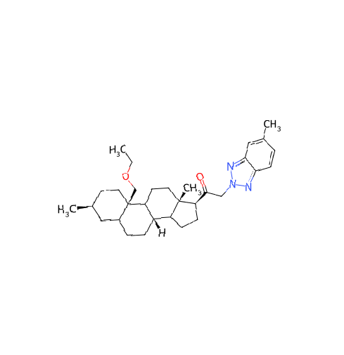 CCOC[C@]12CC[C@H](C)CC1CC[C@@H]1C2CC[C@@]2(C)C1CC[C@@H]2C(=O)Cn1nc2ccc(C)cc2n1